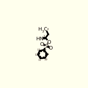 CCC(=N)OS(=O)(=O)c1ccccc1